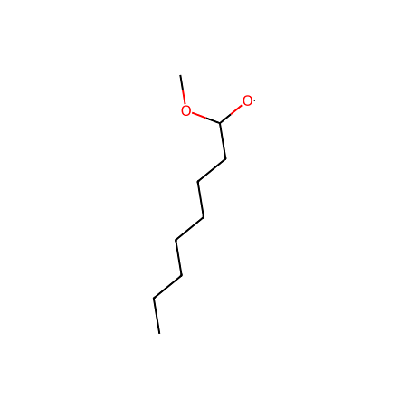 CCCCCCCC([O])OC